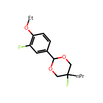 CCCC1(F)COC(c2ccc(OCC)c(F)c2)OC1